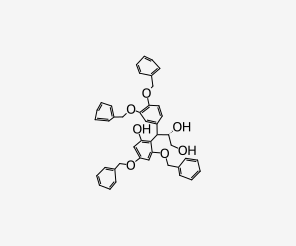 OC[C@@H](O)C(c1ccc(OCc2ccccc2)c(OCc2ccccc2)c1)c1c(O)cc(OCc2ccccc2)cc1OCc1ccccc1